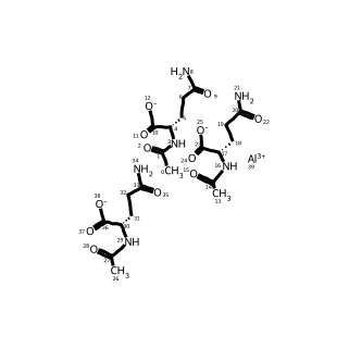 CC(=O)N[C@@H](CCC(N)=O)C(=O)[O-].CC(=O)N[C@@H](CCC(N)=O)C(=O)[O-].CC(=O)N[C@@H](CCC(N)=O)C(=O)[O-].[Al+3]